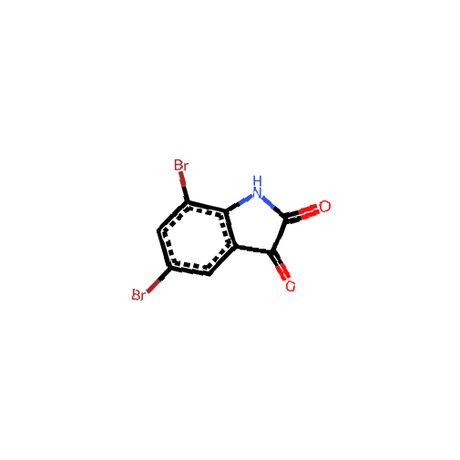 O=C1Nc2c(Br)cc(Br)cc2C1=O